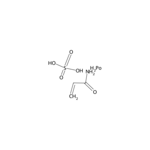 C=CC(N)=O.O=S(=O)(O)O.[PoH2]